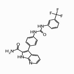 NC(=O)c1[nH]c2ncccc2c1-c1ccc(NC(=O)Nc2cccc(C(F)(F)F)c2)cc1